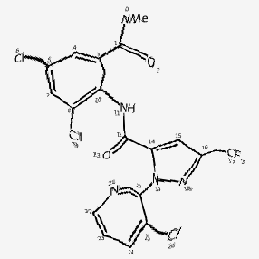 CNC(=O)c1cc(Cl)cc(Cl)c1NC(=O)c1cc(C(F)(F)F)nn1-c1ncccc1Cl